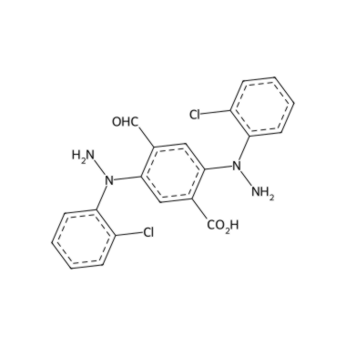 NN(c1ccccc1Cl)c1cc(C(=O)O)c(N(N)c2ccccc2Cl)cc1C=O